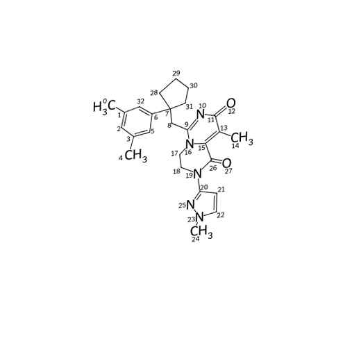 Cc1cc(C)cc(C2(Cc3nc(=O)c(C)c4n3CCN(c3ccn(C)n3)C4=O)CCCC2)c1